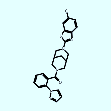 O=C(c1ccccc1-n1cccn1)N1CC2CC(C1)CN(c1nc3ccc(Cl)cc3s1)C2